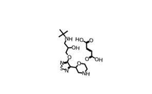 CC(C)(C)NCC(O)COc1nsnc1C1CNCCO1.O=C(O)C=CC(=O)O